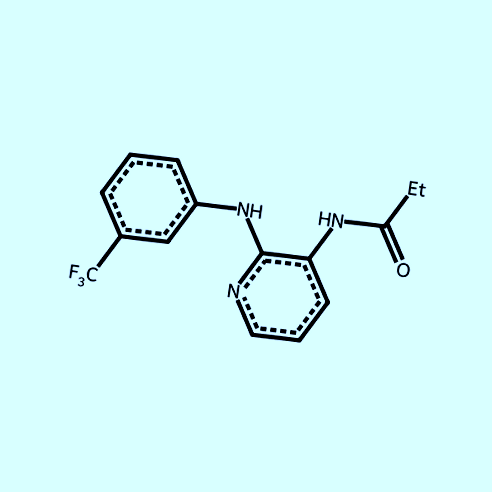 CCC(=O)Nc1cccnc1Nc1cccc(C(F)(F)F)c1